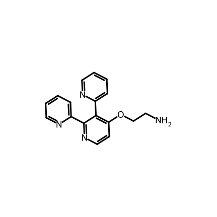 NCCOc1ccnc(-c2ccccn2)c1-c1ccccn1